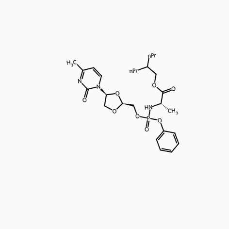 CCCC(CCC)COC(=O)[C@H](C)NP(=O)(OC[C@H]1OC[C@@H](n2ccc(C)nc2=O)O1)Oc1ccccc1